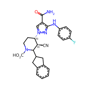 N#C[C@H]1C(C2Cc3ccccc3C2)N(C(=O)O)CC[C@@H]1n1cc(C(N)=O)c(Nc2ccc(F)cc2)n1